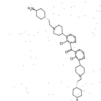 N[C@H]1CC[C@H](CCN2CCC(c3cccc(C(=O)c4cccc(C5CCN(CC[C@H]6CC[C@H](N)CC6)CC5)c4Cl)c3Cl)CC2)CC1